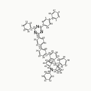 c1ccc(-c2ccc(-c3nc(-c4ccccc4)nc(-c4ccc(-c5cccc(-c6ccc7c(c6)C6(c8ccccc8-7)c7ccccc7N(c7ccccc7)c7ccccc76)c5)cc4)n3)cc2)cc1